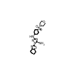 Nc1nc(Nc2ccc(S(=O)(=O)N3CCOCC3)cc2)nn1-c1nc2ccccc2s1